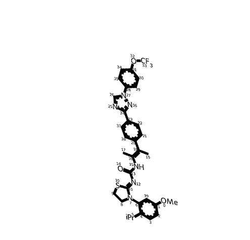 COc1ccc(C(C)C)c(N2CCS/C2=N\C(=O)N/C(C)=C(\C)c2ccc(-c3ncn(-c4ccc(OC(F)(F)F)cc4)n3)cc2)c1